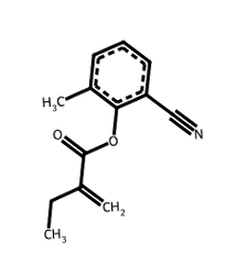 C=C(CC)C(=O)Oc1c(C)cccc1C#N